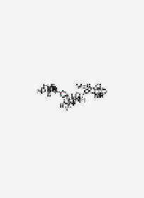 COc1cc2c(cc1OCCCC(=O)Nc1cn(C)c(C(=O)Nc3ccc(-c4cc(C(=O)Nc5ccncc5)n(C)c4)cc3)n1)N=C[C@@H]1CCCCN1C2=O